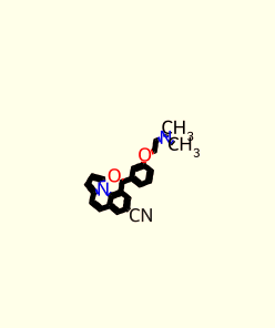 CN(C)CCOc1cccc(C(=O)c2cc(C#N)cc3ccc4cccn4c23)c1